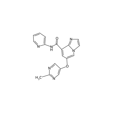 Cc1ncc(Oc2cc(C(=O)Nc3ccccn3)c3nccn3c2)cn1